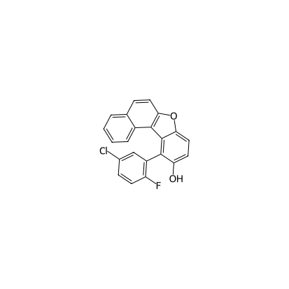 Oc1ccc2oc3ccc4ccccc4c3c2c1-c1cc(Cl)ccc1F